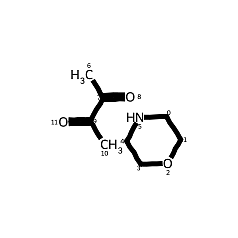 C1COCCN1.CC(=O)C(C)=O